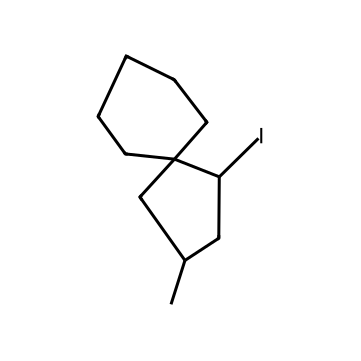 CC1CC(I)C2(CCCCC2)C1